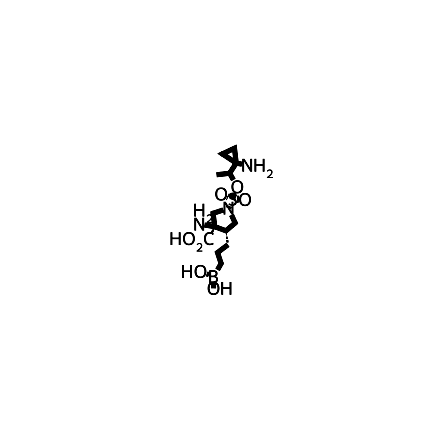 CC(OS(=O)(=O)N1C[C@H](CCCB(O)O)[C@](N)(C(=O)O)C1)C1(N)CC1